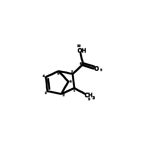 CC1C2C=CC(C2)C1C(=O)O